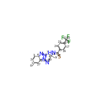 Cc1ccc2nn(CC(C)(C#N)NC(=S)c3ccc(C(F)(F)F)cc3)nc2c1